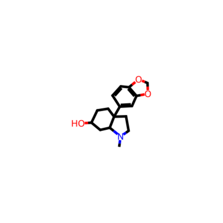 CN1CCC2(c3ccc4c(c3)OCO4)CCC(O)CC12